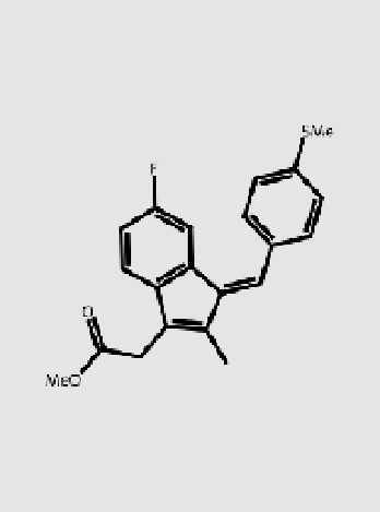 COC(=O)CC1=C(C)/C(=C/c2ccc(SC)cc2)c2cc(F)ccc21